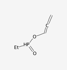 C=C=CO[PH](=O)CC